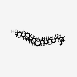 C=CC[C@H](C)[C@H](C)C[C@@H](O)[C@H](O)[C@@H]1CC[C@@]2(C)O[C@@]3(C)C[C@@]4(C)O[C@H]5/C=C\C[C@H]6O[C@H]7C[C@H]8O[C@H]9C[C@@]%10(C)OC(C)(C)[C@H](O)C[C@@H]%10O[C@]9(C)CC[C@]8(C)O[C@]7(C)C[C@@H]6O[C@@H]5C[C@@H]4O[C@@H]3C[C@@H]2O1